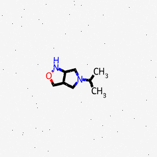 CC(C)N1CC2CONC2C1